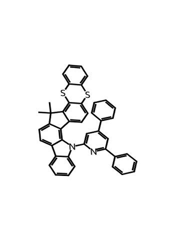 CC1(C)c2ccc3c4ccccc4n(-c4cc(-c5ccccc5)cc(-c5ccccc5)n4)c3c2-c2ccc3c(c21)Sc1ccccc1S3